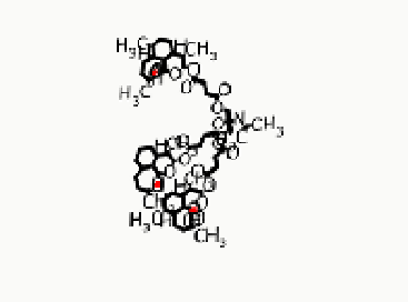 CC(C)=NC(COC(=O)CCC(=O)O[C@@H]1O[C@@H]2O[C@@]3(C)CC[C@H]4[C@H](C)CC[C@@H]([C@H]1C)[C@@]24OO3)(COC(=O)CCC(=O)O[C@@H]1O[C@@H]2O[C@@]3(C)CC[C@H]4[C@H](C)CC[C@@H]([C@H]1C)[C@@]24OO3)OC(=O)CCC(=O)O[C@@H]1O[C@@H]2O[C@@H](C)CCC3CCC[C@H](C32)[C@H]1C